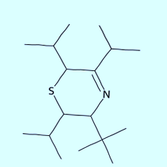 CC(C)C1=NC(C(C)(C)C)C(C(C)C)SC1C(C)C